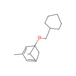 CC1=CC2(OCC3CCCCC3)CC(=C1)C2C